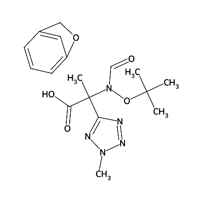 Cn1nnc(C(C)(C(=O)O)N(C=O)OC(C)(C)C)n1.c1cc2cc(c1)OC2